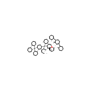 c1ccc(-n2c3ccccc3c3ccc4c5ccccc5n(-c5cnc6c(c5)C5(c7ccccc7Sc7cc8c(cc75)-c5ccccc5C85c7ccccc7-c7ccccc75)c5cccnc5-6)c4c32)cc1